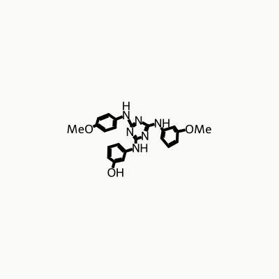 COc1ccc(Nc2nc(Nc3cccc(O)c3)nc(Nc3cccc(OC)c3)n2)cc1